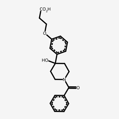 O=C(O)CCOc1cccc(C2(O)CCN(C(=O)c3ccccc3)CC2)c1